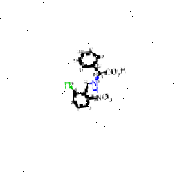 O=C(O)[C@@H](NCc1c(Cl)cccc1[N+](=O)[O-])c1ccccc1